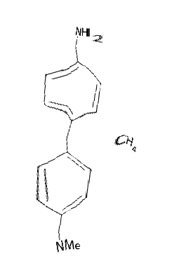 C.CNc1ccc(-c2ccc(N)cc2)cc1